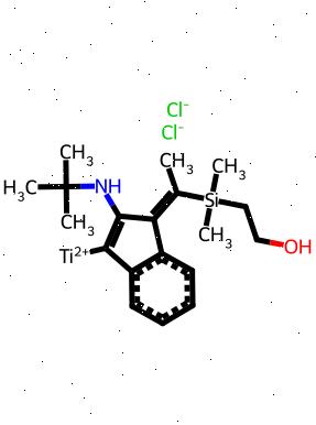 CC(=C1C(NC(C)(C)C)=[C]([Ti+2])c2ccccc21)[Si](C)(C)CCO.[Cl-].[Cl-]